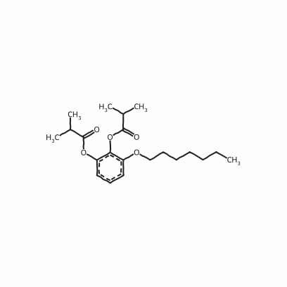 CCCCCCCOc1cccc(OC(=O)C(C)C)c1OC(=O)C(C)C